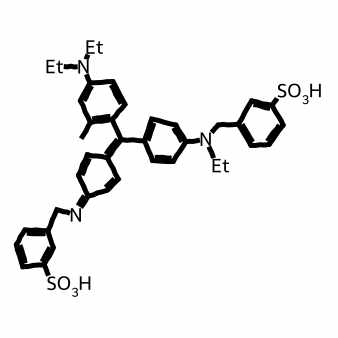 CCN(CC)c1ccc(C(=C2C=CC(=NCc3cccc(S(=O)(=O)O)c3)C=C2)c2ccc(N(CC)Cc3cccc(S(=O)(=O)O)c3)cc2)c(C)c1